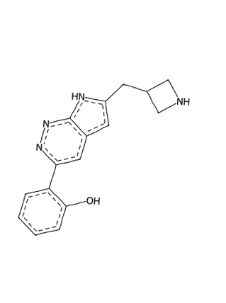 Oc1ccccc1-c1cc2cc(CC3CNC3)[nH]c2nn1